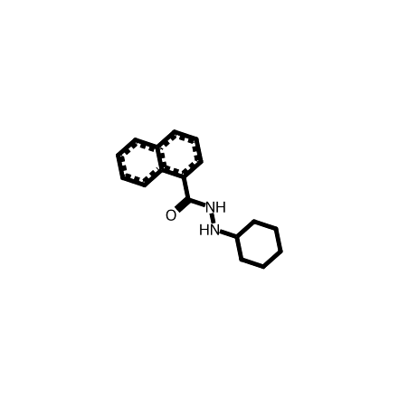 O=C(NNC1CCCCC1)c1cccc2ccccc12